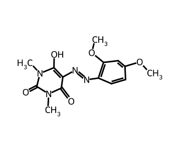 COc1ccc(/N=N/c2c(O)n(C)c(=O)n(C)c2=O)c(OC)c1